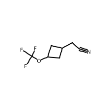 N#CCC1CC(OC(F)(F)F)C1